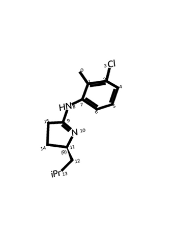 Cc1c(Cl)cccc1NC1=N[C@@H](CC(C)C)CC1